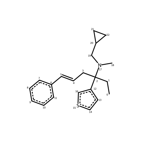 CCC(CC=Cc1ccccc1)(c1ccsc1)N(C)CC1CC1